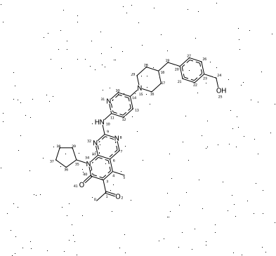 CC(=O)c1c(C)c2cnc(Nc3ccc(N4CCC(Cc5ccc(CO)cc5)CC4)cn3)nc2n(C2CCCC2)c1=O